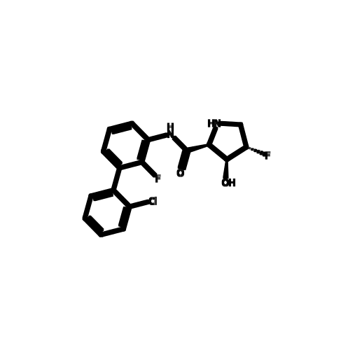 O=C(Nc1cccc(-c2ccccc2Cl)c1F)[C@H]1NC[C@H](F)[C@H]1O